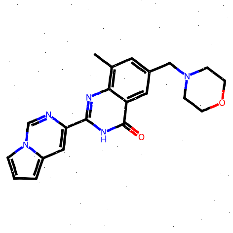 Cc1cc(CN2CCOCC2)cc2c(=O)[nH]c(-c3cc4cccn4cn3)nc12